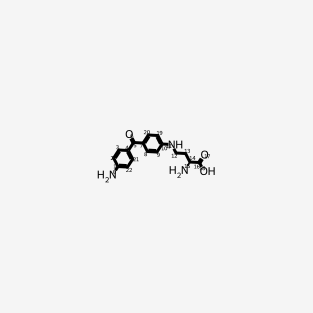 Nc1ccc(C(=O)c2ccc(NCC[C@H](N)C(=O)O)cc2)cc1